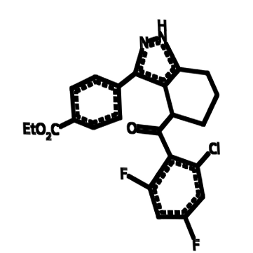 CCOC(=O)c1ccc(-c2n[nH]c3c2C(C(=O)c2c(F)cc(F)cc2Cl)CCC3)cc1